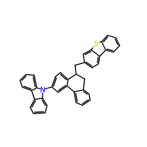 c1ccc2c(c1)CC(Cc1ccc3c(c1)sc1ccccc13)c1ccc(-n3c4ccccc4c4ccccc43)cc1-2